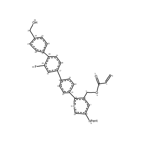 C=CC(=O)OCc1cc(CCCCC)ccc1-c1ccc(-c2ccc(-c3ccc(CO)cc3)c(F)c2)cc1